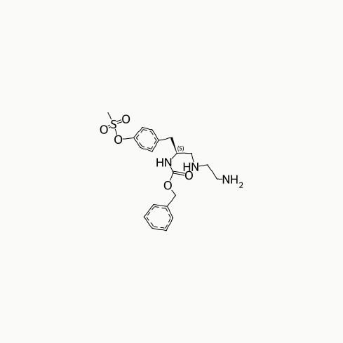 CS(=O)(=O)Oc1ccc(C[C@@H](CNCCN)NC(=O)OCc2ccccc2)cc1